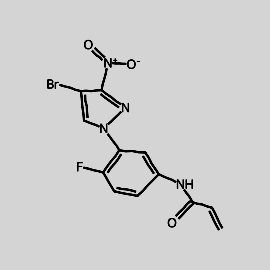 C=CC(=O)Nc1ccc(F)c(-n2cc(Br)c([N+](=O)[O-])n2)c1